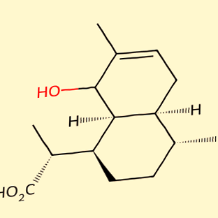 CC1=CC[C@@H]2[C@H](C1O)[C@H]([C@@H](C)C(=O)O)CC[C@H]2C